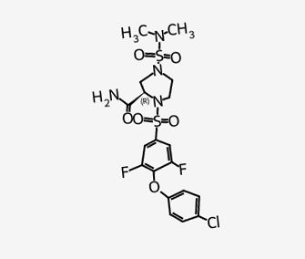 CN(C)S(=O)(=O)N1CCN(S(=O)(=O)c2cc(F)c(Oc3ccc(Cl)cc3)c(F)c2)[C@@H](C(N)=O)C1